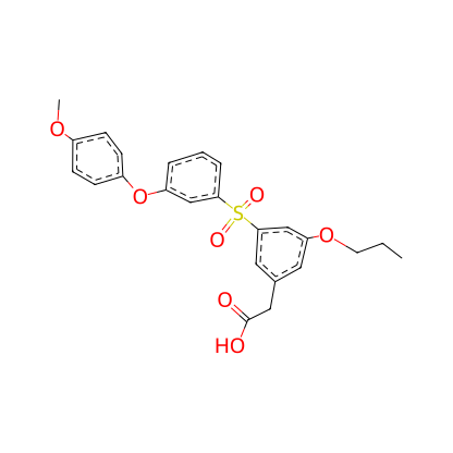 CCCOc1cc(CC(=O)O)cc(S(=O)(=O)c2cccc(Oc3ccc(OC)cc3)c2)c1